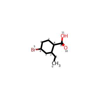 CCC1CC(Br)CCC1C(=O)O